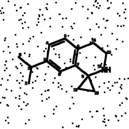 CC(C)c1ccc2c(c1)C1(CC1)NCC2